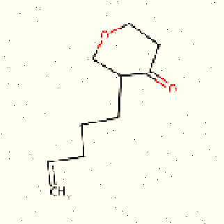 C=CCCCC1COCCC1=O